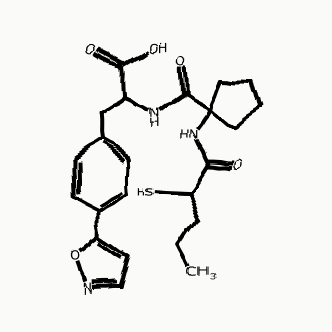 CCCC(S)C(=O)NC1(C(=O)NC(Cc2ccc(-c3ccno3)cc2)C(=O)O)CCCC1